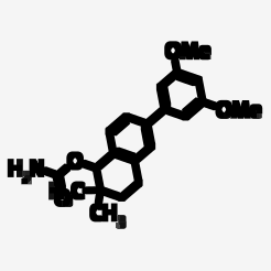 COc1cc(OC)cc(-c2ccc3c(c2)CCC(C)(C)C3OC(N)=O)c1